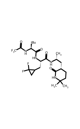 C[C@H](C[C@@H]1CCC(C)(C)NC1=O)NC(=O)[C@H](CC1CC1(F)F)NC(=O)[C@@H](NC(=O)C(F)(F)F)C(C)(C)C